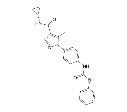 Cc1c(C(=O)NC2CC2)nnn1-c1ccc(NC(=O)Nc2ccccc2)cc1